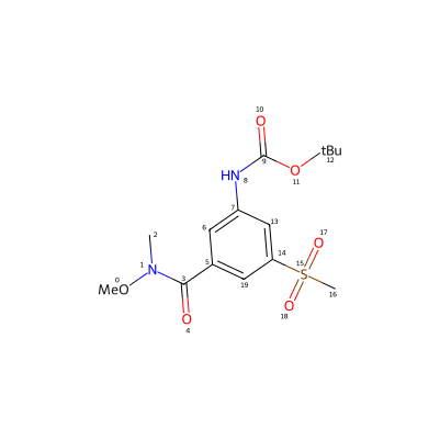 CON(C)C(=O)c1cc(NC(=O)OC(C)(C)C)cc(S(C)(=O)=O)c1